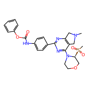 CN1Cc2nc(-c3ccc(NC(=O)Oc4ccccc4)cc3)nc(N3CCOC[C@@H]3S(C)(=O)=O)c2C1